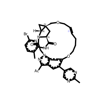 CC(=O)c1nn2c3cc(c(-c4cnc(C)nc4)cc13)OCCC/C=C/COC[C@@]13C[C@@H](C(=O)Nc4nc(Br)ccc4C)N(C(=O)C2)[C@@H]1C3